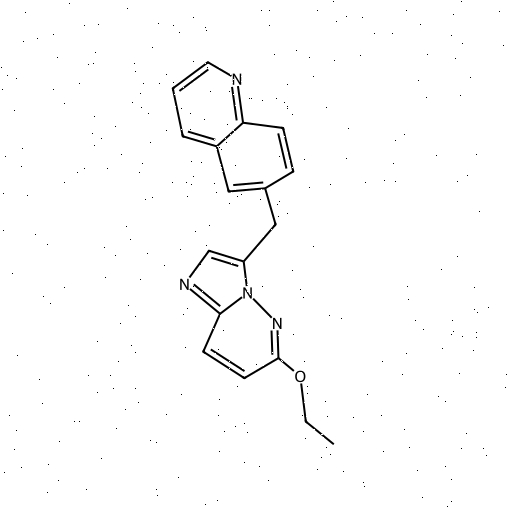 CCOc1ccc2ncc(Cc3ccc4ncccc4c3)n2n1